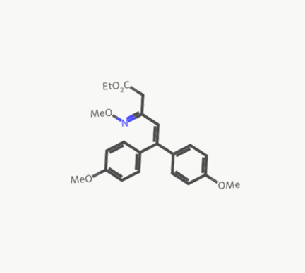 CCOC(=O)CC(C=C(c1ccc(OC)cc1)c1ccc(OC)cc1)=NOC